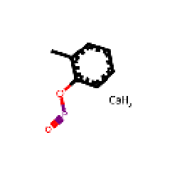 Cc1ccccc1OP=O.[CaH2]